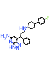 Nc1cc(C(CCNC2CCC(c3ccc(F)cc3)CC2)c2ccccc2)c2nn[nH]c2n1